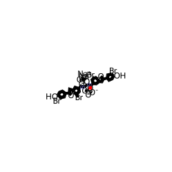 O=S(=O)([O-])OC(=C\c1cc(Br)c2oc(-c3ccc(O)c(Br)c3)cc2c1)/C(=C/c1cc(Br)c2oc(-c3ccc(O)c(Br)c3)cc2c1)OS(=O)(=O)[O-].[Na+].[Na+]